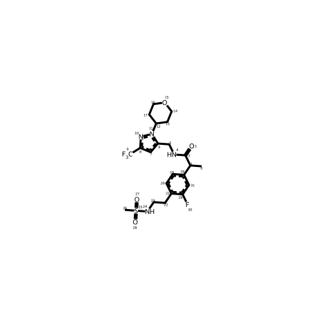 CC(C(=O)NCc1cc(C(F)(F)F)nn1C1CCOCC1)c1ccc(CCNS(C)(=O)=O)c(F)c1